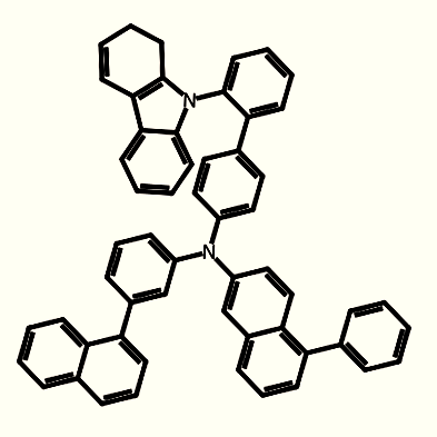 C1=Cc2c(n(-c3ccccc3-c3ccc(N(c4cccc(-c5cccc6ccccc56)c4)c4ccc5c(-c6ccccc6)cccc5c4)cc3)c3ccccc23)CC1